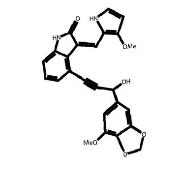 COc1cc[nH]c1C=C1C(=O)Nc2cccc(C#CC(O)c3cc(OC)c4c(c3)OCO4)c21